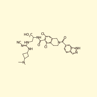 CN(C)C1CC(N/C(=N/C#N)NCC(NC(=O)c2c(Cl)cc3c(c2Cl)CCN(C(=O)c2ccc4cn[nH]c4c2)C3)C(=O)O)C1